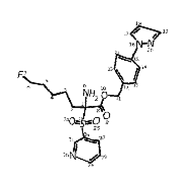 NC(CCCCCF)(C(=O)OCc1ccc(-n2cccn2)cc1)S(=O)(=O)c1cccnc1